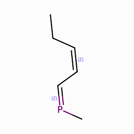 CC/C=C\C=P/C